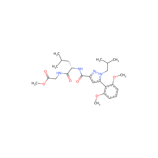 COC(=O)CNC(=O)[C@H](CC(C)C)NC(=O)c1cc(-c2c(OC)cccc2OC)n(CC(C)C)n1